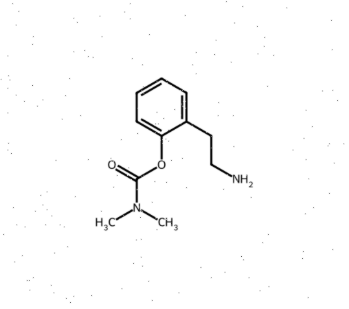 CN(C)C(=O)Oc1ccccc1CCN